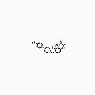 CC1Oc2ccc(CN3CCN(c4ccc(Cl)cc4)CC3)c(F)c2NC1=O